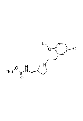 CCOc1ccc(Cl)cc1CCN1CC[C@@H](CNC(=O)OC(C)(C)C)C1